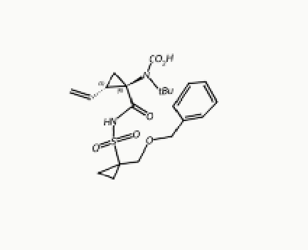 C=C[C@@H]1C[C@@]1(C(=O)NS(=O)(=O)C1(COCc2ccccc2)CC1)N(C(=O)O)C(C)(C)C